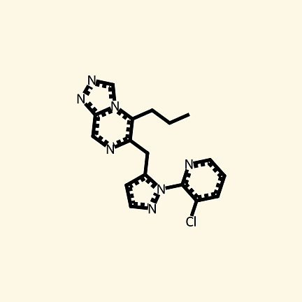 CCCc1c(Cc2ccnn2-c2ncccc2Cl)ncc2nncn12